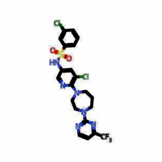 O=S(=O)(Nc1cnc(N2CCCN(c3nccc(C(F)(F)F)n3)CC2)c(Cl)c1)c1cccc(Cl)c1